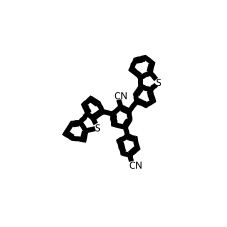 N#Cc1ccc(-c2cc(-c3ccc4sc5ccccc5c4c3)c(C#N)c(-c3cccc4c3sc3ccccc34)c2)cc1